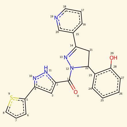 O=C(c1cc(-c2cccs2)n[nH]1)N1N=C(c2cccnc2)CC1c1ccccc1O